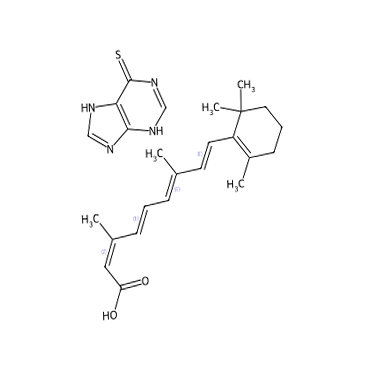 CC1=C(/C=C/C(C)=C/C=C/C(C)=C\C(=O)O)C(C)(C)CCC1.S=c1nc[nH]c2nc[nH]c12